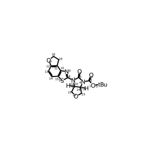 CC(C)(C)OC(=O)N1C(=O)N(c2nc3c4c(ccc3s2)OCC4)[C@H]2COC[C@H]21